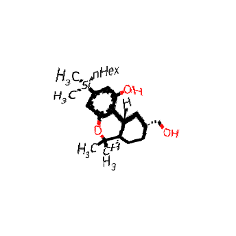 CCCCCC[Si](C)(C)c1cc(O)c2c(c1)OC(C)(C)[C@@H]1CC[C@@H](CO)C[C@@H]21